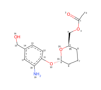 CC(=O)OC[C@H]1[CH][CH][CH][C@H](Oc2ccc(CO)cc2N)O1